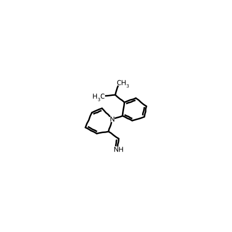 CC(C)c1ccccc1N1C=CC=CC1C=N